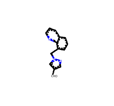 O=Cc1cnn(Cc2cccc3cccnc23)c1